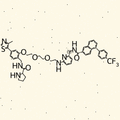 Cc1ncsc1-c1ccc(CNC(=O)C2CCCN2)c(OCCOCCOCCNc2cccc([C@H](C)NC(=O)c3ccc4c(-c5ccc(C(F)(F)F)cc5)cccc4c3)n2)c1